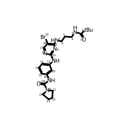 CC(C)(C)C(=O)NCCCNc1nc(Nc2cccc(NC(=O)N3CCCC3)c2)ncc1Br